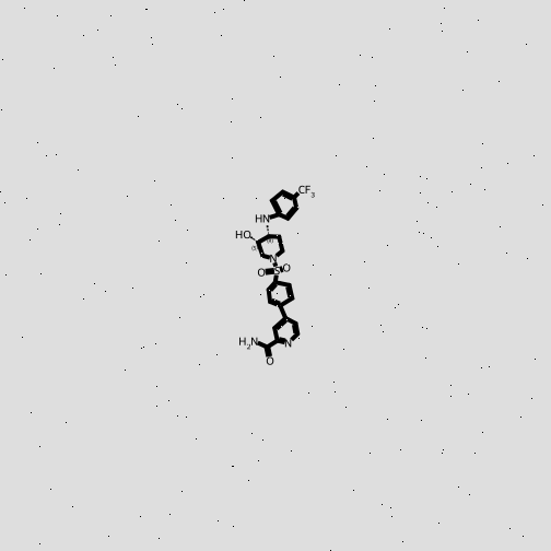 NC(=O)c1cc(-c2ccc(S(=O)(=O)N3CC[C@@H](Nc4ccc(C(F)(F)F)cc4)[C@@H](O)C3)cc2)ccn1